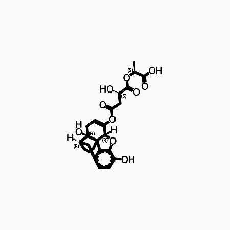 C[C@H](OC(=O)[C@@H](O)CC(=O)OC1=CC[C@@]2(O)[C@@H]3CCCC24c2c(ccc(O)c2O[C@@H]14)C3)C(=O)O